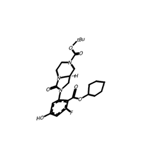 CC(C)(C)OC(=O)N1CCN2C(=O)N(c3cc(O)cc(F)c3C(=O)OC3CCCCC3)C[C@@H]2C1